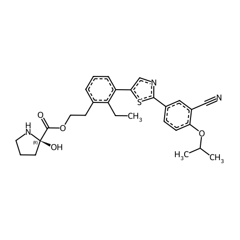 CCc1c(CCOC(=O)[C@]2(O)CCCN2)cccc1-c1cnc(-c2ccc(OC(C)C)c(C#N)c2)s1